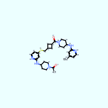 CCC(=O)N1CCC(Nc2cc(SCC3CC(C(=O)N4CCC(Nc5cc(C(C)(C)C)ccn5)CC4)C3)ccn2)CC1